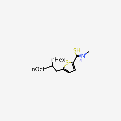 CCCCCCCCC(CCCCCC)Cc1ccc(/C(S)=N/C)s1